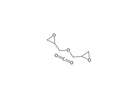 C(OCC1CO1)C1CO1.O=C=O